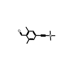 Cc1cc(C#C[Si](C)(C)C)cc(C)c1C=O